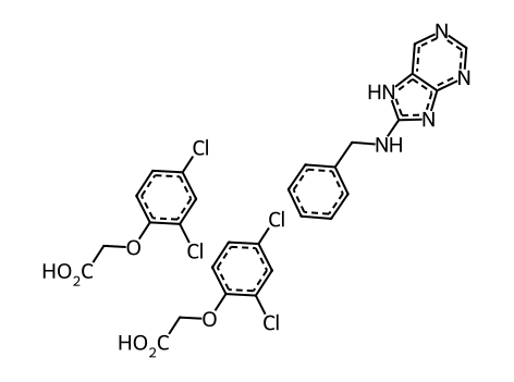 O=C(O)COc1ccc(Cl)cc1Cl.O=C(O)COc1ccc(Cl)cc1Cl.c1ccc(CNc2nc3ncncc3[nH]2)cc1